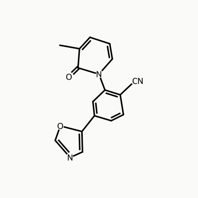 Cc1cccn(-c2cc(-c3cnco3)ccc2C#N)c1=O